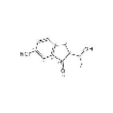 CC(O)C1Cc2ccc(C#N)cc2C1=O